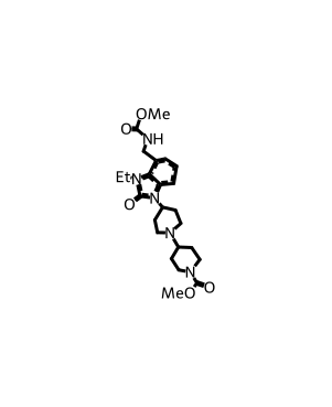 CCn1c(=O)n(C2CCN(C3CCN(C(=O)OC)CC3)CC2)c2cccc(CNC(=O)OC)c21